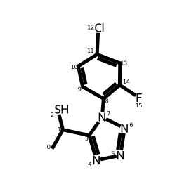 CC(S)c1nnnn1-c1ccc(Cl)cc1F